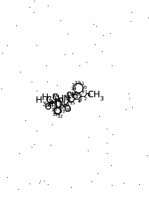 CCCCCC(C=C1CCCCCCC1)CC(NC)C(=O)N1C[C@H](C)N(C(C)=O)c2ccccc21